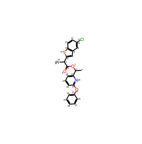 CC(OC(=O)C(c1cc2cc(Cl)ccc2s1)C(C)C)c1cccc(Oc2ccccc2)n1